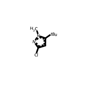 Cn1nc(Cl)cc1C(C)(C)C